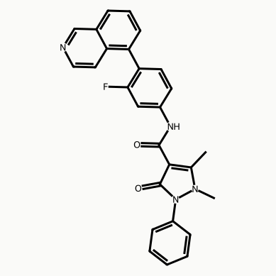 Cc1c(C(=O)Nc2ccc(-c3cccc4cnccc34)c(F)c2)c(=O)n(-c2ccccc2)n1C